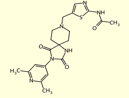 CC(=O)Nc1ncc(CN2CCC3(CC2)NC(=O)N(c2cc(C)nc(C)c2)C3=O)s1